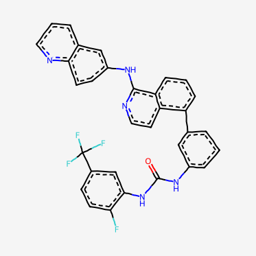 O=C(Nc1cccc(-c2cccc3c(Nc4ccc5ncccc5c4)nccc23)c1)Nc1cc(C(F)(F)F)ccc1F